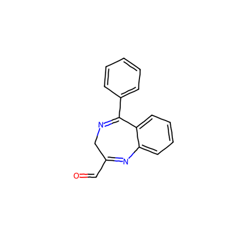 O=CC1=Nc2ccccc2C(c2ccccc2)=NC1